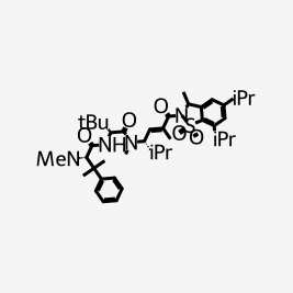 CN[C@H](C(=O)N[C@H](C(=O)N(C)[C@H](/C=C(\C)C(=O)N1C(C)c2cc(C(C)C)cc(C(C)C)c2S1(=O)=O)C(C)C)C(C)(C)C)C(C)(C)c1ccccc1